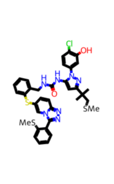 CSCC(C)(C)c1cc(NC(=O)NCc2ccccc2Sc2ccc3nnc(-c4ccccc4SC)n3c2)n(-c2ccc(Cl)c(O)c2)n1